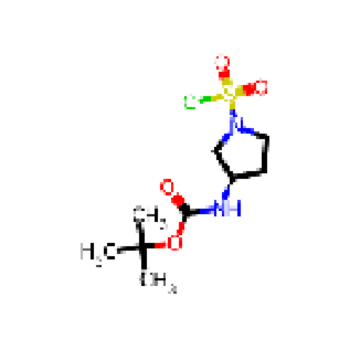 CC(C)(C)OC(=O)N[C@@H]1CCN(S(=O)(=O)Cl)C1